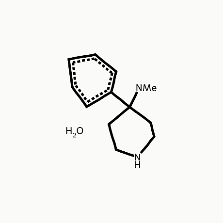 CNC1(c2ccccc2)CCNCC1.O